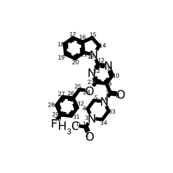 CC(=O)N1CCN(C(=O)c2cnc(N3CCc4ccccc43)nc2OCc2ccc(F)cc2)CC1